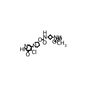 CS(=O)(=O)N[C@H]1C[C@H](NC(=O)O[C@@H]2CCN(c3cn[nH]c(=O)c3Cl)C2)C1